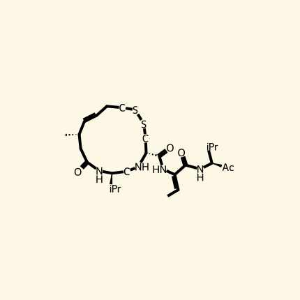 C/C=C(\NC(=O)[C@H]1CSSCC/C=C/[C@@H](C)CC(=O)N[C@H](C(C)C)CN1)C(=O)N[C@H](C(C)=O)C(C)C